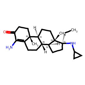 CC[C@]1(NC2CC2)CC[C@H]2[C@@H]3CCC4=C(N)C(=O)CC[C@]4(C)[C@H]3CC[C@@]21C